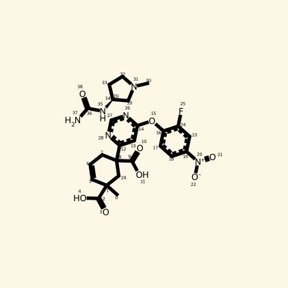 CC1(C(=O)O)C=CCC(C(=O)O)(c2cc(Oc3ccc([N+](=O)[O-])cc3F)ncn2)C1.CN1CC[C@H](NC(N)=O)C1